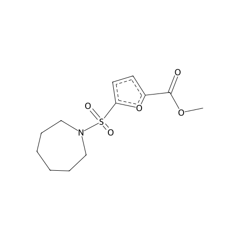 COC(=O)c1ccc(S(=O)(=O)N2CCCCCC2)o1